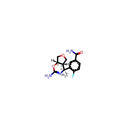 C[C@]1(c2cc(C(N)=O)ccc2F)N=C(N)O[C@@H]2COC[C@@H]21